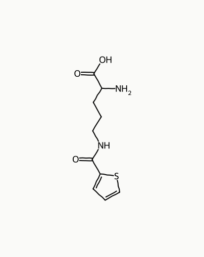 NC(CCCNC(=O)c1cccs1)C(=O)O